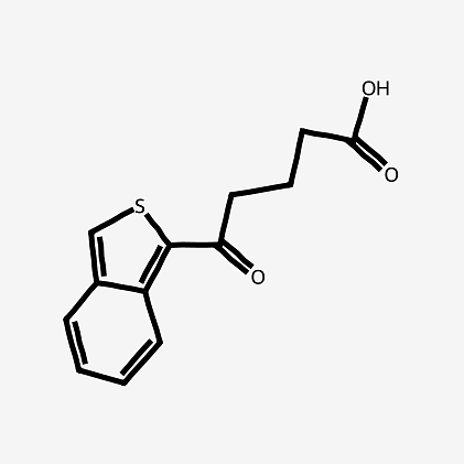 O=C(O)CCCC(=O)c1scc2ccccc12